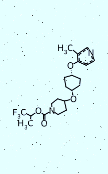 Cc1cnccc1O[C@H]1CC[C@H](OC2CCN(C(=O)OC(C)C(F)(F)F)CC2)CC1